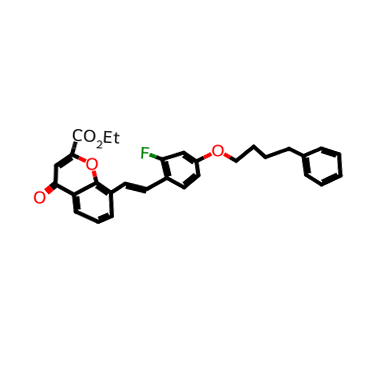 CCOC(=O)c1cc(=O)c2cccc(/C=C/c3ccc(OCCCCc4ccccc4)cc3F)c2o1